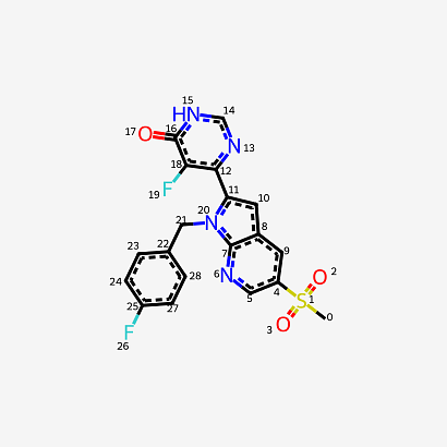 CS(=O)(=O)c1cnc2c(c1)cc(-c1nc[nH]c(=O)c1F)n2Cc1ccc(F)cc1